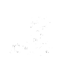 Cc1cc(CN(Cc2cn(C)c3ccccc3c2=O)[C@H]2CCCN(c3nnc(C)o3)C2)ccn1